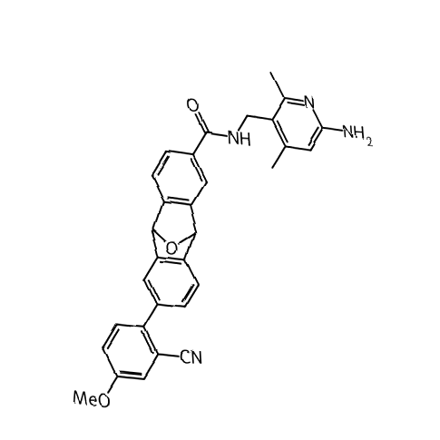 COc1ccc(-c2ccc3c(c2)C2OC3c3cc(C(=O)NCc4c(C)cc(N)nc4C)ccc32)c(C#N)c1